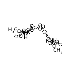 Cc1ccc(NC(=O)Nc2ncc(CSc3ccc(C(=O)OC(=O)c4ccc(S(=O)(=O)Cc5cnc(NC(=O)Nc6ccc(C)cc6C(=O)C6CCCC6)s5)cc4)cc3)s2)c(C(=O)C2CCCC2)c1